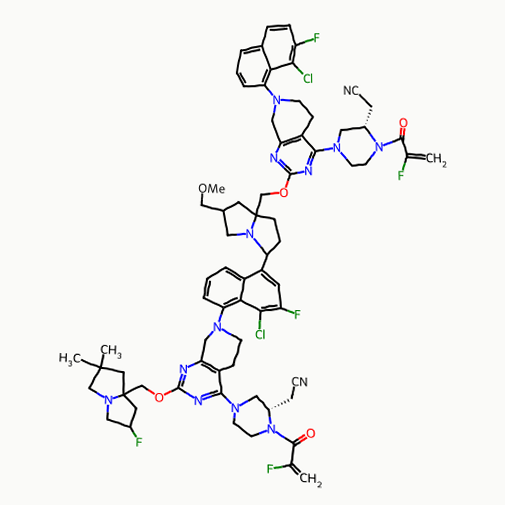 C=C(F)C(=O)N1CCN(c2nc(OCC34CCC(c5cc(F)c(Cl)c6c(N7CCc8c(nc(OCC9%10CC(F)CN9CC(C)(C)C%10)nc8N8CCN(C(=O)C(=C)F)[C@@H](CC#N)C8)C7)cccc56)N3CC(COC)C4)nc3c2CCN(c2cccc4ccc(F)c(Cl)c24)C3)C[C@@H]1CC#N